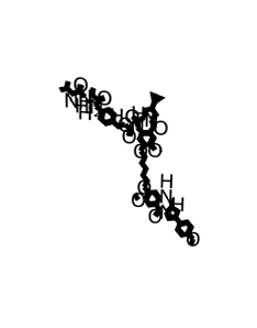 COc1ccc(C2=CN3C(=O)c4cc(OC)c(OCCCCCOc5cc6c(cc5OC)C(=O)N5CC(C7CC7)C[C@H]5C(O)N6C(=O)OCc5ccc(NC(=O)C(C)NC(=O)[C@H](N)C(C)C)cc5)cc4NC[C@@H]3C2)cc1